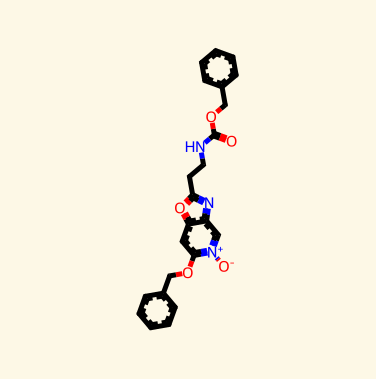 O=C(NCCc1nc2c[n+]([O-])c(OCc3ccccc3)cc2o1)OCc1ccccc1